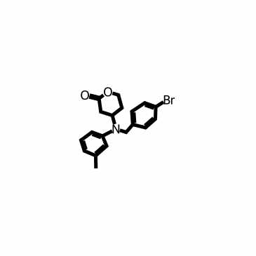 Cc1cccc(N(Cc2ccc(Br)cc2)C2CCOC(=O)C2)c1